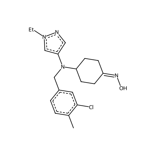 CCn1cc(N(Cc2ccc(C)c(Cl)c2)C2CCC(=NO)CC2)cn1